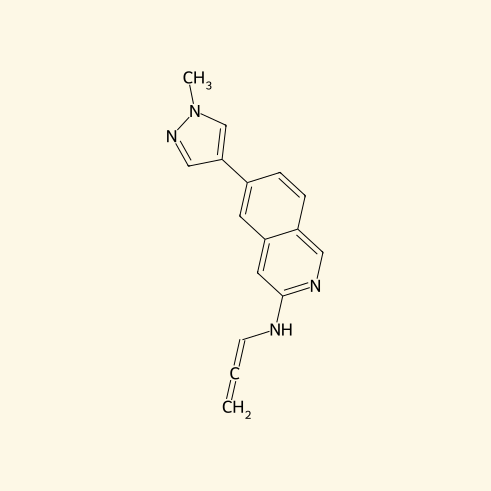 C=C=CNc1cc2cc(-c3cnn(C)c3)ccc2cn1